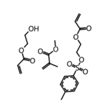 C=C(C)C(=O)OC.C=CC(=O)OCCO.C=CC(=O)OCCOS(=O)(=O)c1ccc(C)cc1